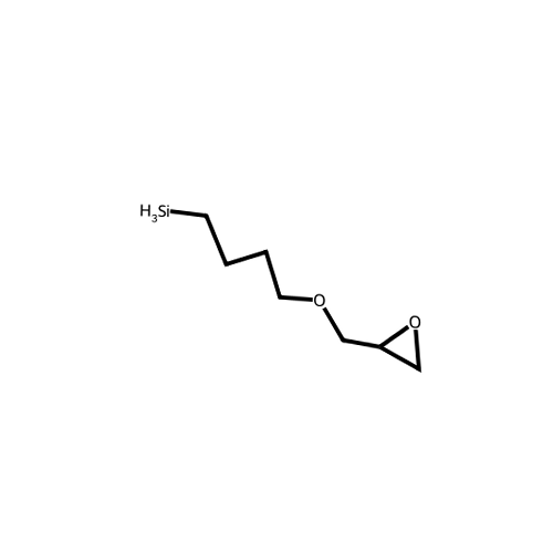 [SiH3]CCCCOCC1CO1